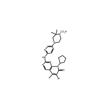 Cc1c(Br)c(=O)n(C2CCCC2)c2nc(Nc3ccc(N4CCN(C(=O)O)C(C)(C)C4)cn3)ncc12